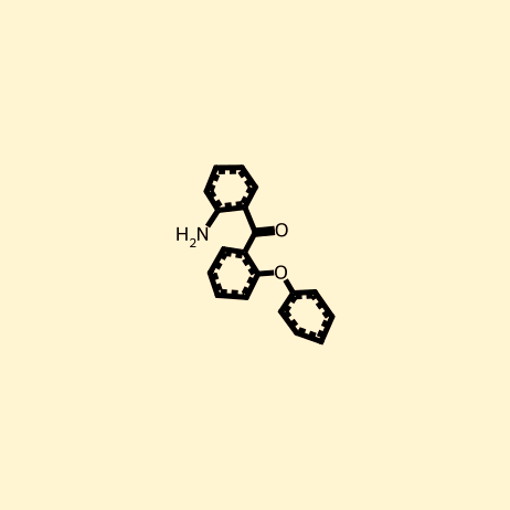 Nc1ccccc1C(=O)c1ccccc1Oc1ccccc1